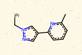 Cc1cccc(-c2cnn(CC(C)C)c2)n1